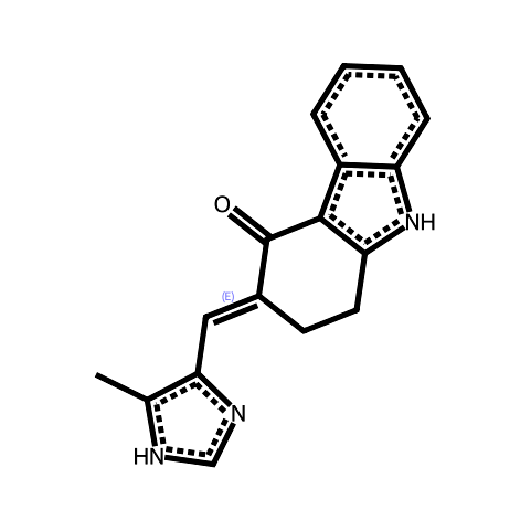 Cc1[nH]cnc1/C=C1\CCc2[nH]c3ccccc3c2C1=O